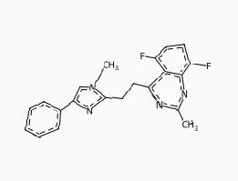 Cc1nc(CCc2nc(-c3ccccc3)cn2C)c2c(F)ccc(F)c2n1